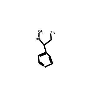 CCC(NC)c1ccncc1